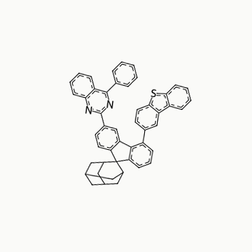 c1ccc(-c2nc(-c3ccc4c(c3)-c3c(-c5ccc6sc7ccccc7c6c5)cccc3C43C4CC5CC(C4)CC3C5)nc3ccccc23)cc1